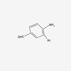 CC(=O)c1cc(C=O)ccc1N